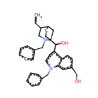 C=CC1C[N+]2(Cc3ccccc3)CCC1CC2C(O)c1cc[n+](Cc2ccccc2)c2cc(CO)ccc12